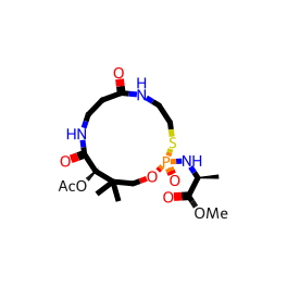 COC(=O)[C@H](C)NP1(=O)OCC(C)(C)[C@@H](OC(C)=O)C(=O)NCCC(=O)NCCS1